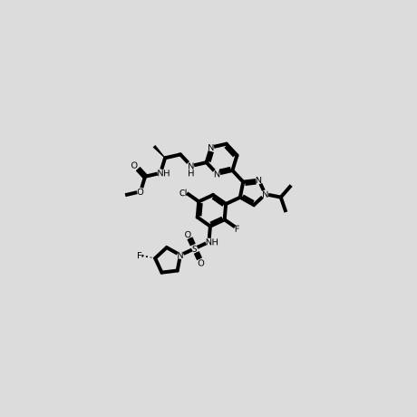 COC(=O)N[C@@H](C)CNc1nccc(-c2nn(C(C)C)cc2-c2cc(Cl)cc(NS(=O)(=O)N3CC[C@H](F)C3)c2F)n1